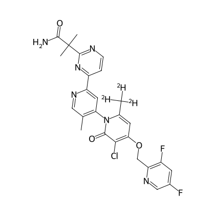 [2H]C([2H])([2H])c1cc(OCc2ncc(F)cc2F)c(Cl)c(=O)n1-c1cc(-c2ccnc(C(C)(C)C(N)=O)n2)ncc1C